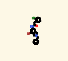 O=C(Cc1ccccc1Cl)Nc1cc(Br)c2c(c1)CN(Cc1ccccc1)C2